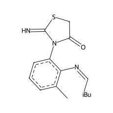 CCC(C)/C=N\c1c(C)cccc1N1C(=N)SCC1=O